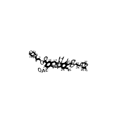 CC(=O)Oc1cc(C(=O)OCCN2CCOCC2)cc(CC(=O)Nc2c(I)cc(I)c(C(=O)OCCN3CCOCC3)c2I)c1I